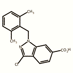 Cc1cccc(C)c1Cn1nc(Cl)c2ccc(C(=O)O)cc21